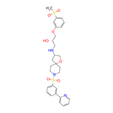 CS(=O)(=O)c1cccc(OC[C@@H](O)CNC2COC3(CCN(S(=O)(=O)c4cccc(-c5ccccn5)c4)CC3)C2)c1